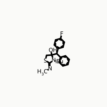 CCC(C)N1C(=NC)SCC1(O)C(c1ccccc1)c1ccc(F)cc1